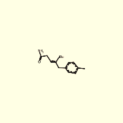 CCC(C)/C(=C\CC(N)=O)Cc1ccc(C)cc1